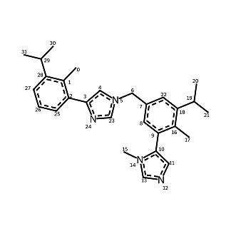 Cc1c(-c2cn(Cc3cc(-c4cncn4C)c(C)c(C(C)C)c3)cn2)cccc1C(C)C